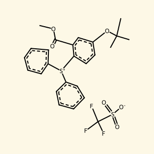 COC(=O)c1cc(OC(C)(C)C)ccc1[S+](c1ccccc1)c1ccccc1.O=S(=O)([O-])C(F)(F)F